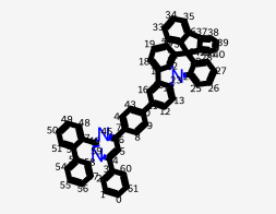 c1ccc(-c2cc(-c3ccc(-c4ccc5c(c4)c4cccc6c4n5-c4ccccc4C64c5ccccc5-c5ccccc54)cc3)nc(-c3ccccc3-c3ccccc3)n2)cc1